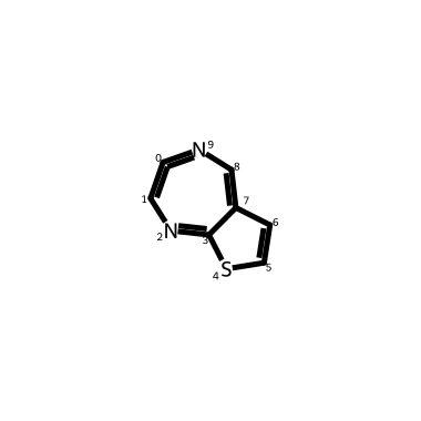 C1=CN=c2sccc2=CN=1